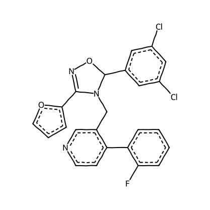 Fc1ccccc1-c1ccncc1CN1C(c2ccco2)=NOC1c1cc(Cl)cc(Cl)c1